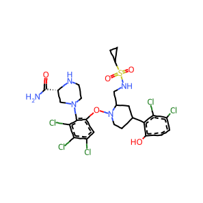 NC(=O)[C@H]1CN(c2c(ON3CCC(c4c(O)ccc(Cl)c4Cl)CC3CNS(=O)(=O)C3CC3)cc(Cl)c(Cl)c2Cl)CCN1